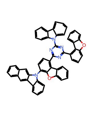 c1ccc2cc3c(cc2c1)c1ccccc1n3-c1ccc(-c2nc(-c3cccc4oc5ccccc5c34)nc(-n3c4ccccc4c4ccccc43)n2)c2c1oc1ccccc12